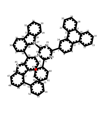 c1ccc(-c2nc(-c3ccc4c5ccccc5c5ccccc5c4c3)nc(-n3c4ccccc4c4cccc(-c5cccc6c5sc5cccc(-c7ccccc7)c56)c43)n2)cc1